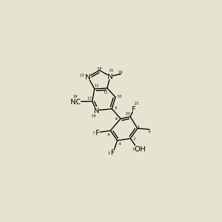 Cc1c(O)c(F)c(F)c(-c2cc3c(ncn3C)c(C#N)n2)c1F